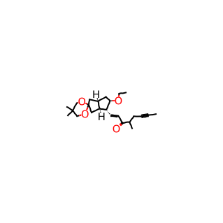 CC#CCC(C)C(=O)/C=C/[C@@H]1[C@H]2CC3(C[C@H]2C[C@H]1OCC)OCC(C)(C)CO3